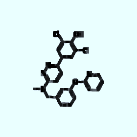 CN(Cc1cccc(Oc2ccccn2)c1)c1ccc(-c2cc(Cl)c(O)c(Cl)c2)nn1